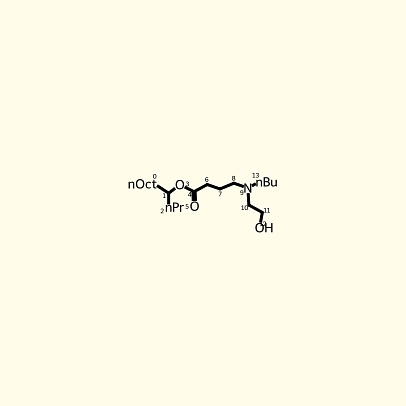 CCCCCCCCC(CCC)OC(=O)CCCN(CCO)CCCC